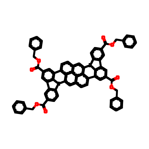 O=C(OCc1ccccc1)c1ccc2c(c1)-c1cc(C(=O)OCc3ccccc3)cc3c1B2c1cc2ccc4c5c(cc6ccc-3c1c6c25)B1c2ccc(C(=O)OCc3ccccc3)cc2-c2cc(C(=O)OCc3ccccc3)cc-4c21